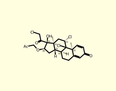 CC(=O)CO[C@@H]1C[C@H]2[C@@H]3CCC4=CC(=O)C=C[C@]4(C)C3(Cl)[C@@H](Cl)C[C@]2(C)[C@@]1(O)C(=O)CCl